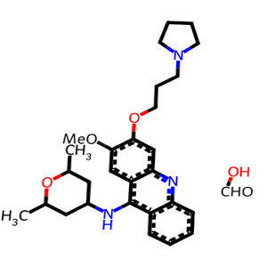 COc1cc2c(NC3CC(C)OC(C)C3)c3ccccc3nc2cc1OCCCN1CCCC1.O=CO